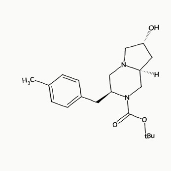 Cc1ccc(C[C@H]2CN3C[C@H](O)C[C@H]3CN2C(=O)OC(C)(C)C)cc1